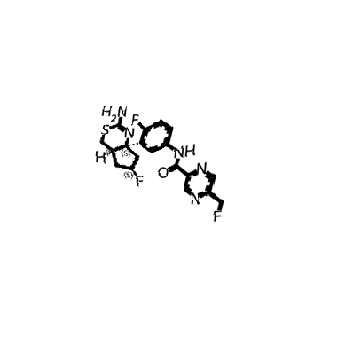 NC1=N[C@@]2(c3cc(NC(=O)c4cnc(CF)cn4)ccc3F)C[C@@H](F)C[C@H]2CS1